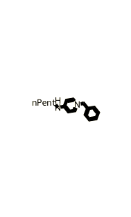 CCCCCNc1cc[n+](Cc2ccccc2)cc1